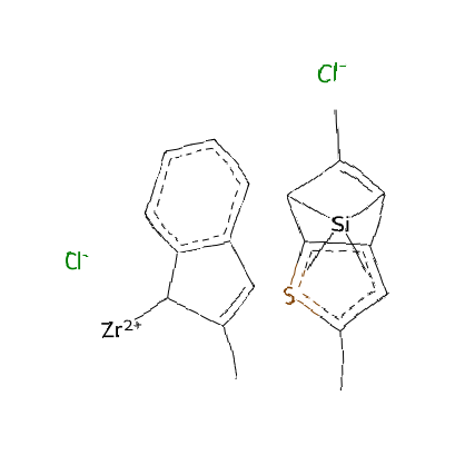 CC1=C2c3cc(C)sc3C1[Si]2(C)C.CC1=Cc2ccccc2[CH]1[Zr+2].[Cl-].[Cl-]